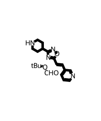 C(=C\c1nc(C2CCNCC2)no1)/c1cccnc1.CC(C)(C)OC=O